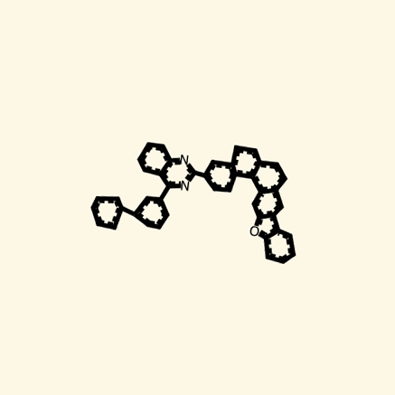 c1ccc(-c2cccc(-c3nc(-c4ccc5c(ccc6ccc7cc8c(cc7c65)oc5ccccc58)c4)nc4ccccc34)c2)cc1